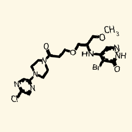 COCC(COCCC(=O)N1CCN(c2cnc(Cl)cn2)CC1)Nc1cn[nH]c(=O)c1Br